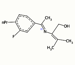 CCCc1ccc(/C(C)=N/C(CO)=C(C)C)cc1F